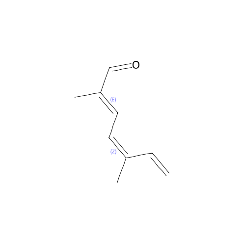 C=C/C(C)=C\C=C(/C)C=O